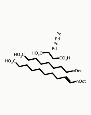 CCCCCCCCC=CCCCCCCCC(=O)O.CCCCCCCCCCCCCCCCCC(=O)O.O=C(O)CCC(=O)O.[Pd].[Pd].[Pd].[Pd]